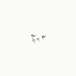 [Cl-].[Cl-].[Rh+].[Rh+]